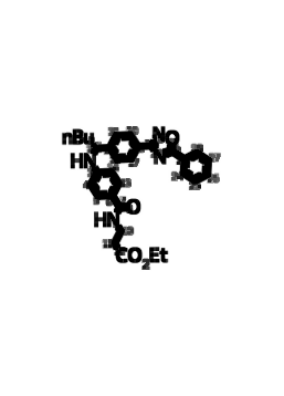 CCCC[C@H](Nc1ccc(C(=O)NCCC(=O)OCC)cc1)c1ccc(-c2noc(-c3ccccc3)n2)cc1